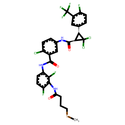 CSCCCC(=O)Nc1c(F)ccc(NC(=O)c2cc(NC(=O)[C@H]3[C@H](c4ccc(F)c(C(F)(F)F)c4)C3(Cl)Cl)ccc2Cl)c1F